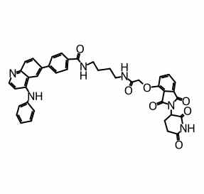 O=C(COc1cccc2c1C(=O)N(C1CCC(=O)NC1=O)C2=O)NCCCCNC(=O)c1ccc(-c2ccc3nccc(Nc4ccccc4)c3c2)cc1